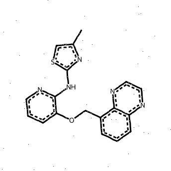 Cc1csc(Nc2ncccc2OCc2cccc3nccnc23)n1